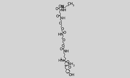 CCCCC(=O)NC(CCC(=O)NCCOCCOCC(=O)NCCOCCOCC(=O)NCCCC[C@H](NI)C(=O)C[C@@H](CC1C=CC(O)=CC1)C(N)=O)C(=O)O